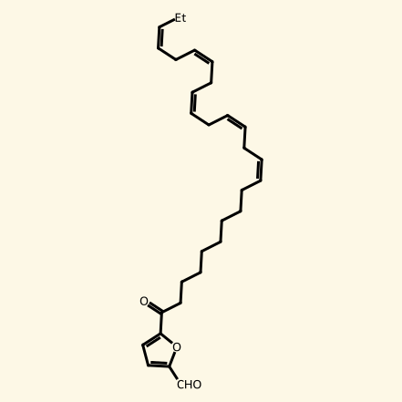 CC/C=C\C/C=C\C/C=C\C/C=C\C/C=C\CCCCCCCCC(=O)c1ccc(C=O)o1